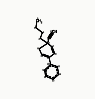 C#CC1(CCCC)C=CC(c2ccccc2)=CC1